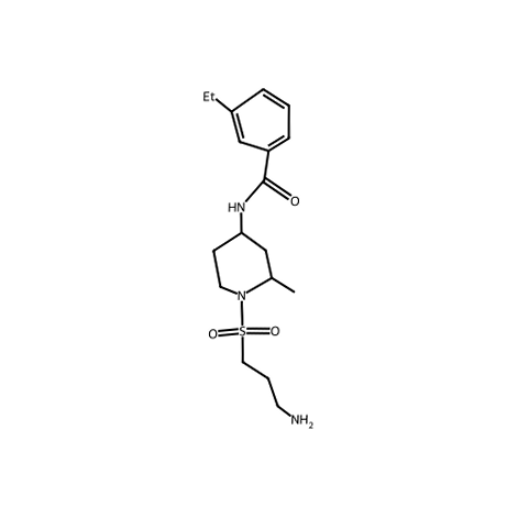 CCc1cccc(C(=O)NC2CCN(S(=O)(=O)CCCN)C(C)C2)c1